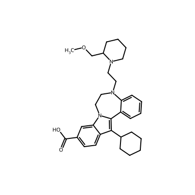 COCC1CCCCN1CCN1CCn2c(c(C3CCCCC3)c3ccc(C(=O)O)cc32)-c2ccccc21